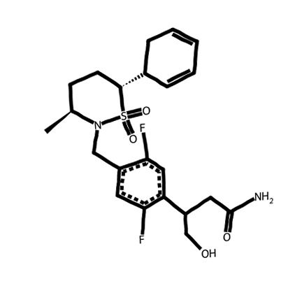 C[C@H]1CC[C@H](C2C=CC=CC2)S(=O)(=O)N1Cc1cc(F)c(C(CO)CC(N)=O)cc1F